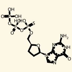 Nc1nc2c(ncn2[C@H]2CC[C@@H](COP(O)(=S)OP(=O)(O)OP(=O)(O)O)O2)c(=O)[nH]1